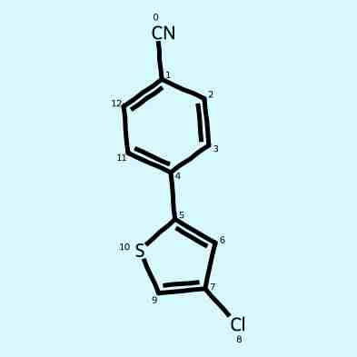 N#Cc1ccc(-c2cc(Cl)cs2)cc1